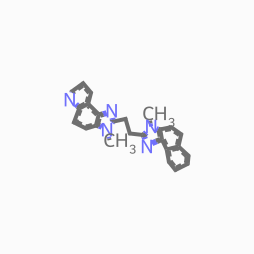 Cn1c(CCc2nc3c4cccnc4ccc3n2C)nc2c3ccccc3ccc21